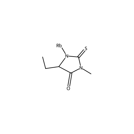 CCC1C(=O)N(C)C(=S)[N]1[Rb]